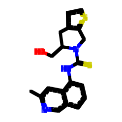 Cc1cc2c(NC(=S)N3Cc4sccc4CC3CO)cccc2cn1